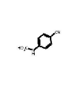 N#Cc1ccc(NC(=O)O)cc1